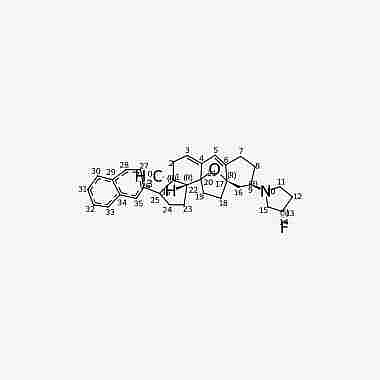 C[C@]12CC=C3C=C4CC[C@@H](N5CC[C@H](F)C5)C[C@]45CCC3(O5)[C@@H]1CCC2c1ccc2ccccc2c1